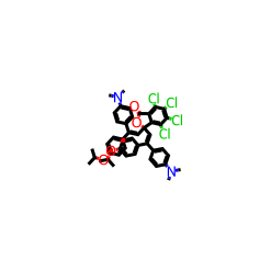 CC(C)Oc1ccc(C(=CC2(C=C(c3ccc(OC(C)C)cc3)c3ccc(N(C)C)cc3)OC(=O)c3c(Cl)c(Cl)c(Cl)c(Cl)c32)c2ccc(N(C)C)cc2)cc1